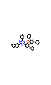 c1ccc(-c2cc(-c3ccccc3)c3oc4c(-c5nc(-c6ccccc6)nc(-c6ccc7ccccc7c6)n5)ccc(-c5ccccc5)c4c3c2)cc1